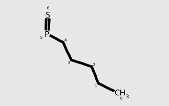 CCCCCP=S